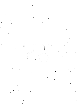 CC(Oc1cncc([N+](=O)[O-])c1)[C@H]1CCCN1